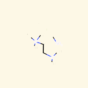 CN(C)CC[N+](C)(C)C.F.F.[CH2]CN.[F-]